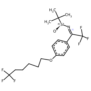 CC(C)(C)[S@+]([O-])/N=C(\c1ccc(OCCCCCC(F)(F)F)cc1)C(F)(F)F